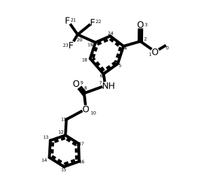 COC(=O)c1cc(NC(=O)OCc2ccccc2)cc(C(F)(F)F)c1